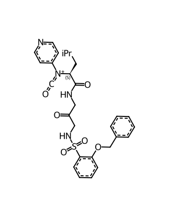 CC(C)C[C@@H](C(=O)NCC(=O)CNS(=O)(=O)c1ccccc1OCc1ccccc1)[N+](=C=O)c1ccncc1